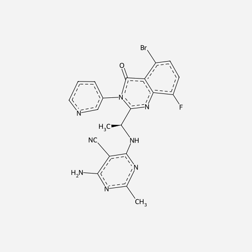 Cc1nc(N)c(C#N)c(N[C@@H](C)c2nc3c(F)ccc(Br)c3c(=O)n2-c2cccnc2)n1